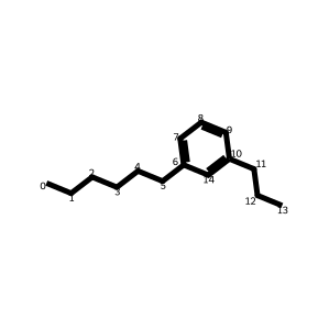 CCCCCCc1cccc(CCC)c1